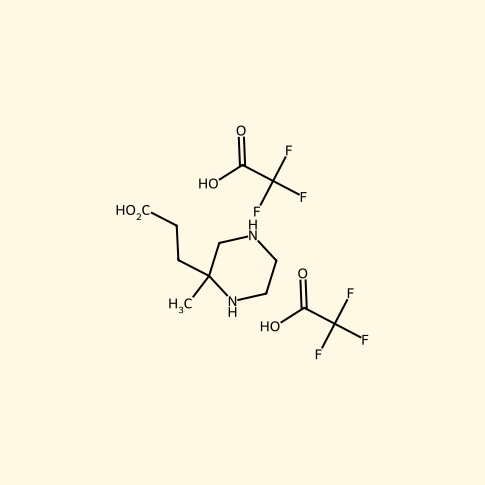 CC1(CCC(=O)O)CNCCN1.O=C(O)C(F)(F)F.O=C(O)C(F)(F)F